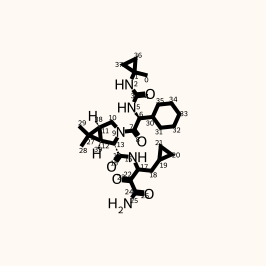 CC1(NC(=O)N[C@H](C(=O)N2C[C@H]3[C@@H]([C@H]2C(=O)NC(CC2CC2)C(=O)C(N)=O)C3(C)C)C2CCCCC2)CC1